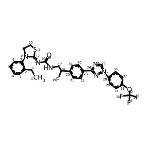 CCc1ccccc1N1CCS/C1=N\C(=O)NCC(F)c1ccc(-c2ncn(-c3ccc(OC(F)(F)F)cc3)n2)cc1